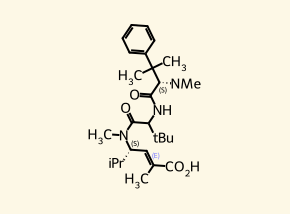 CN[C@H](C(=O)NC(C(=O)N(C)[C@H](/C=C(\C)C(=O)O)C(C)C)C(C)(C)C)C(C)(C)c1ccccc1